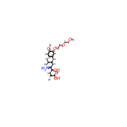 COCCOCCOc1cc(C[C@@H](C[C@H](N)[C@@H](O)C[C@@H](C)C(=O)O)C(C)C)ccc1OC